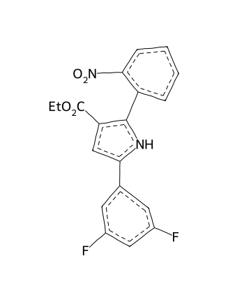 CCOC(=O)c1cc(-c2cc(F)cc(F)c2)[nH]c1-c1ccccc1[N+](=O)[O-]